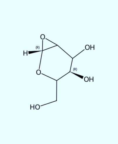 OCC1O[C@@H]2OC2C(O)[C@H]1O